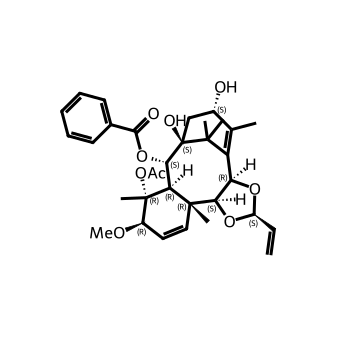 C=C[C@@H]1O[C@@H]2C3=C(C)[C@@H](O)C[C@@](O)([C@@H](OC(=O)c4ccccc4)[C@H]4[C@@](C)(C=C[C@@H](OC)[C@]4(C)OC(C)=O)[C@@H]2O1)C3(C)C